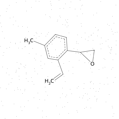 C=Cc1cc(C)ccc1C1CO1